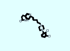 O=C1CCc2cnc(C=CCCCN3CCN(c4cccc(Cl)c4Cl)CC3)cc2N1